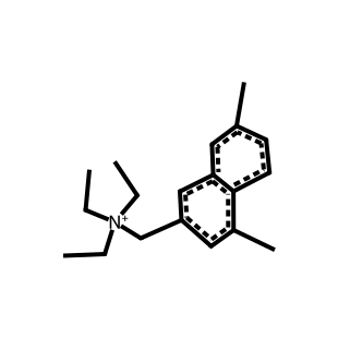 CC[N+](CC)(CC)Cc1cc(C)c2ccc(C)cc2c1